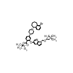 CC(C)(C)OC(=O)c1ccc(N2CCN([C@@H]3CCCCc4c(Br)cccc43)CC2)cc1Oc1cnc2c(ccn2COCC[Si](C)(C)C)c1